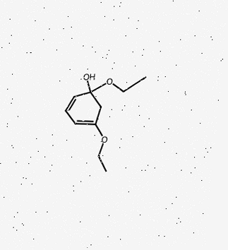 CCOC1=CC=CC(O)(OCC)C1